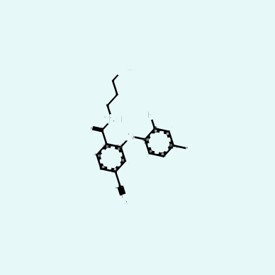 N#Cc1ccc(C(=O)NCCCO)c(Nc2ccc(I)cc2F)c1